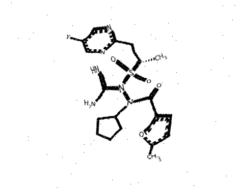 Cc1ccc(C(=O)N(C2CCCC2)N(C(=N)N)S(=O)(=O)[C@@H](C)Cc2ncc(F)cn2)o1